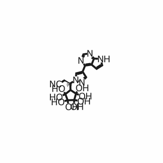 N#CC[C@H](C1C(O)(O)C(O)(O)C(O)(O)C1(O)O)n1cc(-c2ncnc3[nH]ccc23)cn1